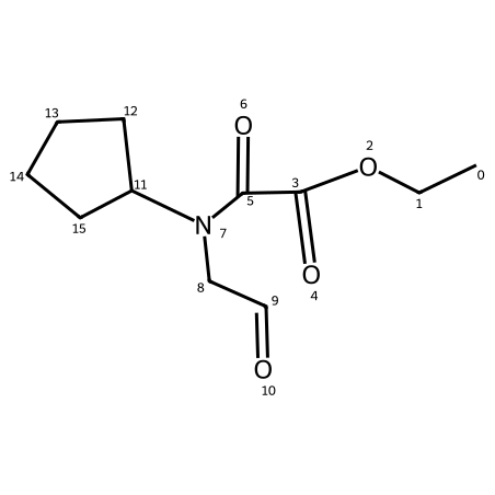 CCOC(=O)C(=O)N(CC=O)C1CCCC1